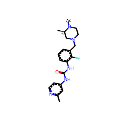 CC(=O)N1CCN(Cc2cccc(NC(=O)Nc3ccnc(C)c3)c2F)C[C@H]1C